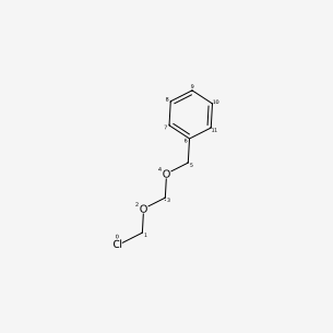 ClCO[CH]OCc1ccccc1